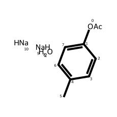 CC(=O)Oc1ccc(C)cc1.O.[NaH].[NaH]